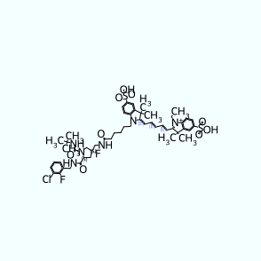 CC[N+]1=C(/C=C/C=C/C=C2/N(CCCCCC(=O)NC[C@@]3(F)C[C@@H](C(=O)NCc4cccc(Cl)c4F)N(C(=O)NC(C)(C)C)C3)c3ccc(S(=O)(=O)O)cc3C2(C)C)C(C)(C)c2cc(S(=O)(=O)O)ccc21